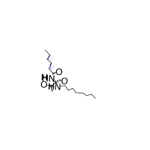 C/C=C/C=C/C(=O)N[C@@](C=O)(NCCCCCCCC)[C@@H](C)O